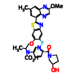 COc1cnc2c(-c3nc4cc(F)c(OCC(C)N(C(=O)O)c5ccc(C(=O)N6CC[C@@H](O)C6)nc5)cc4s3)cc(C)cc2n1